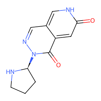 O=c1cc2c(=O)n([C@H]3CCCN3)ncc2c[nH]1